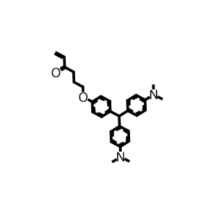 C=CC(=O)CCCOc1ccc(C(c2ccc(N(C)C)cc2)c2ccc(N(C)C)cc2)cc1